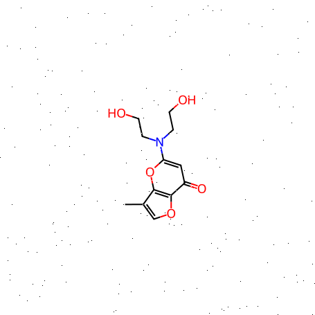 Cc1coc2c(=O)cc(N(CCO)CCO)oc12